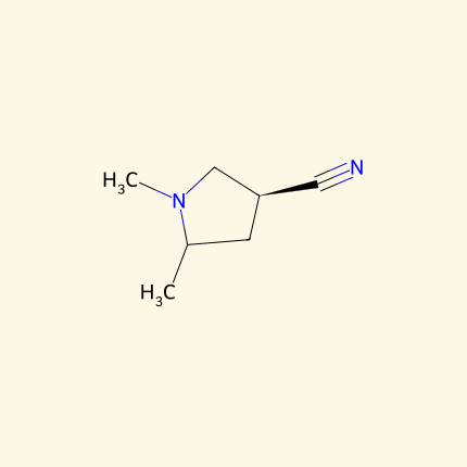 CC1C[C@H](C#N)CN1C